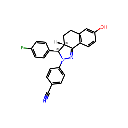 N#Cc1ccc(N2N=C3c4ccc(O)cc4CC[C@H]3[C@@H]2c2ccc(F)cc2)cc1